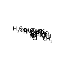 COc1ccc(CNC(=O)c2cnc(Cl)nc2N(C)c2ccc3c(ccc4sc5c(c43)NC[C@@H](C)NC5=O)n2)cc1